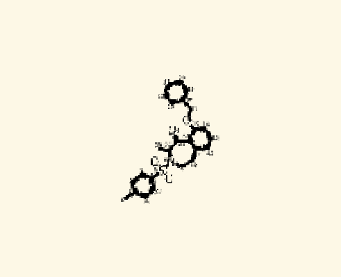 Cc1ccc(S(=O)(=O)N2CCc3cccc(OCc4ccccc4)c3C(=O)C2C)cc1